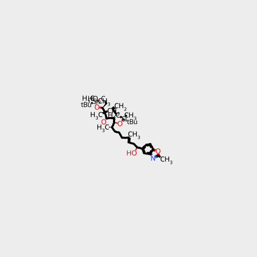 C=CC[C@@H](C(=O)C(C)(C)[C@H](CC(=O)O)O[Si](C)(C)C(C)(C)C)[C@@H](O[Si](C)(C)C(C)(C)C)[C@@H](C)CCC/C(C)=C/C[C@H](O)c1ccc2oc(C)nc2c1